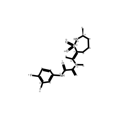 C=C(C(=O)Nc1ccc(F)c(F)c1)N(C)/C(C)=C1\CCC[C@H](C)NS1(=O)=O